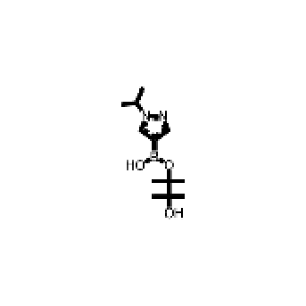 CC(C)n1cc(B(O)OC(C)(C)C(C)(C)O)cn1